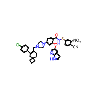 N#Cc1ccc(SNC(=O)c2ccc(N3CCN(CC4=C(c5ccc(Cl)cc5)CC5(CCC5)CC4)CC3)cc2Oc2cnc3[nH]ccc3c2)cc1[N+](=O)[O-]